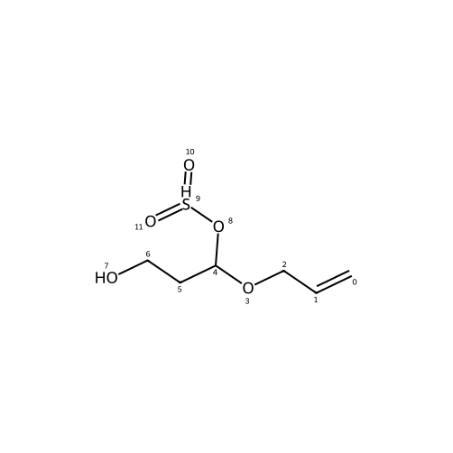 C=CCOC(CCO)O[SH](=O)=O